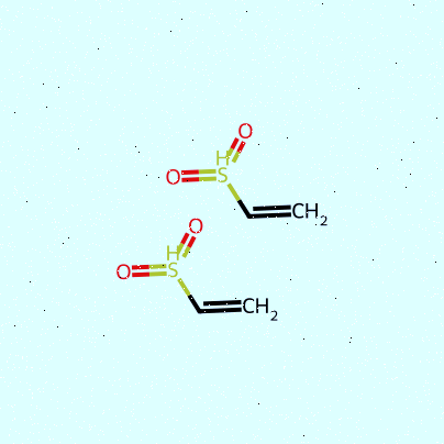 C=C[SH](=O)=O.C=C[SH](=O)=O